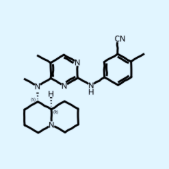 Cc1ccc(Nc2ncc(C)c(N(C)[C@H]3CCCN4CCCC[C@H]34)n2)cc1C#N